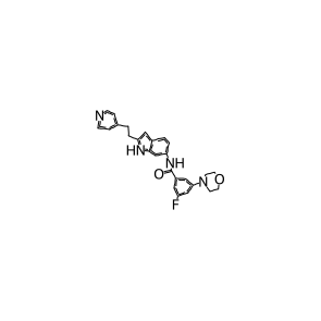 O=C(Nc1ccc2cc(CCc3ccncc3)[nH]c2c1)c1cc(F)cc(N2CCOCC2)c1